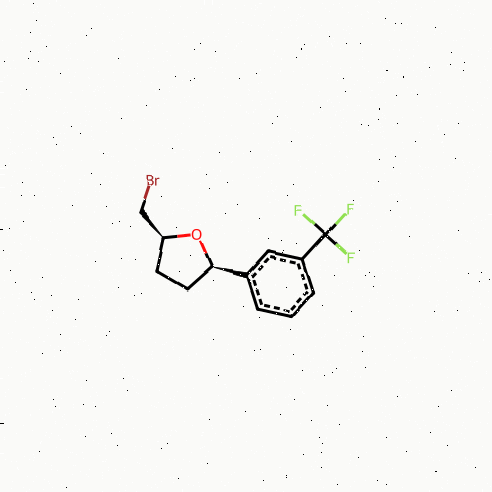 FC(F)(F)c1cccc([C@H]2CC[C@@H](CBr)O2)c1